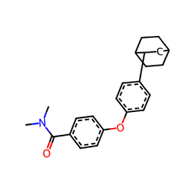 CN(C)C(=O)c1ccc(Oc2ccc(C3CC4CCC3CC4)cc2)cc1